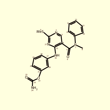 CSc1ncc(C(=O)N(C)c2ccccc2)c(Nc2cccc(OC(N)=O)c2)n1